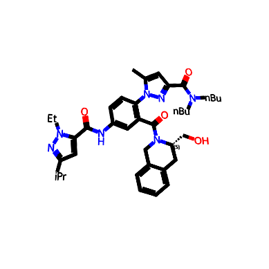 CCCCN(CCCC)C(=O)c1cc(C)n(-c2ccc(NC(=O)c3cc(C(C)C)nn3CC)cc2C(=O)N2Cc3ccccc3C[C@H]2CO)n1